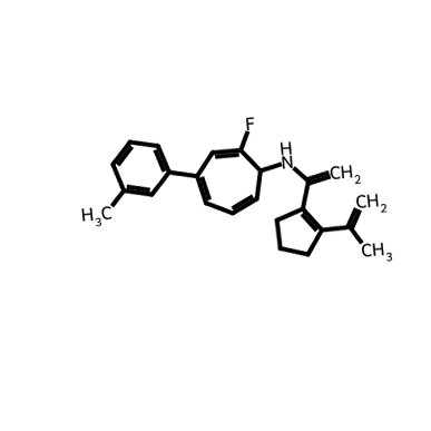 C=C(C)C1=C(C(=C)NC2C=CC=C(c3cccc(C)c3)C=C2F)CCC1